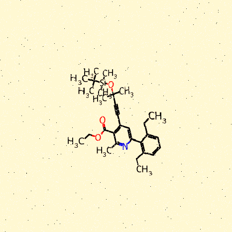 CCOC(=O)c1c(C#CC(C)(C)O[Si](C)(C)C(C)(C)C)cc(-c2c(CC)cccc2CC)nc1C